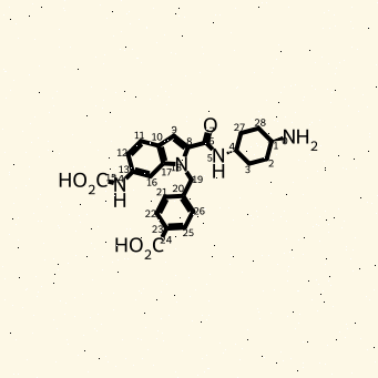 N[C@H]1CC[C@H](NC(=O)c2cc3ccc(NC(=O)O)cc3n2Cc2ccc(C(=O)O)cc2)CC1